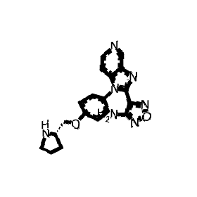 Nc1nonc1-c1nc2cnccc2n1-c1ccc(OC[C@@H]2CCCN2)cc1